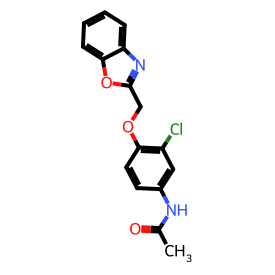 CC(=O)Nc1ccc(OCc2nc3ccccc3o2)c(Cl)c1